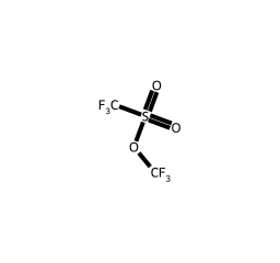 O=S(=O)(OC(F)(F)F)C(F)(F)F